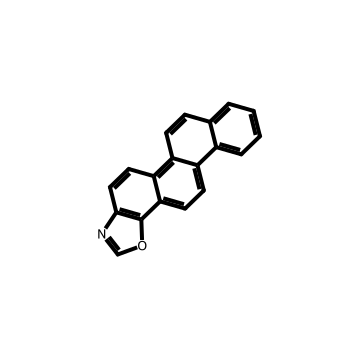 c1ccc2c(c1)ccc1c2ccc2c1ccc1ncoc12